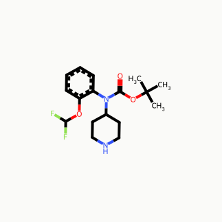 CC(C)(C)OC(=O)N(c1ccccc1OC(F)F)C1CCNCC1